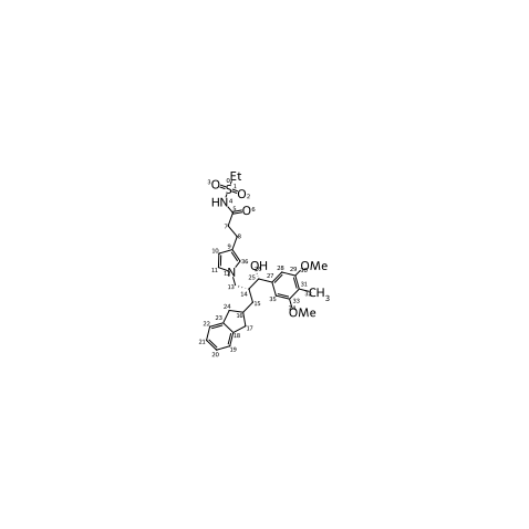 CCS(=O)(=O)NC(=O)CCc1ccn(C[C@@H](CC2Cc3ccccc3C2)[C@H](O)c2cc(OC)c(C)c(OC)c2)c1